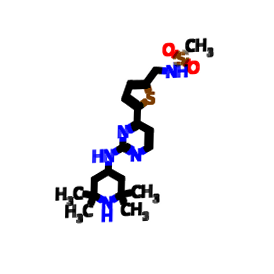 CC1(C)CC(Nc2nccc(-c3ccc(CNS(C)(=O)=O)s3)n2)CC(C)(C)N1